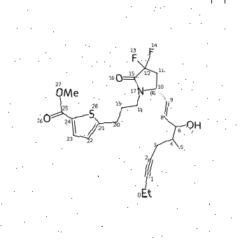 CCC#CCC(C)C(O)C=C[C@H]1CC(F)(F)C(=O)N1CCCc1ccc(C(=O)OC)s1